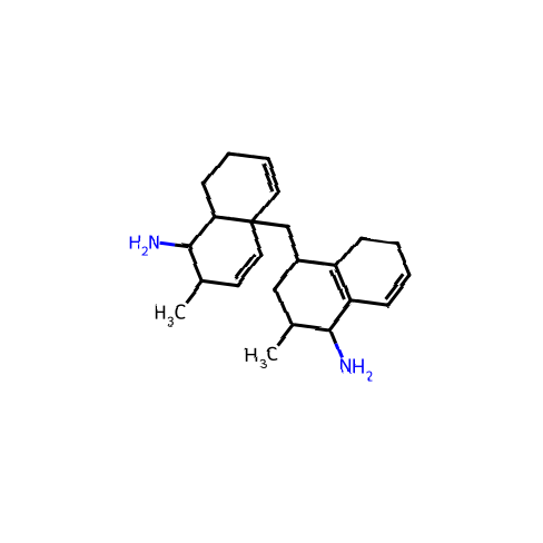 CC1C=CC2(CC3CC(C)C(N)C4=C3CCC=C4)C=CCCC2C1N